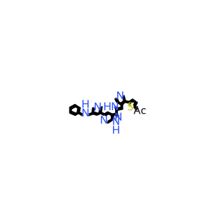 CC(=O)c1ccc(-c2cncc3[nH]c(-c4n[nH]c5cnc(-c6cncc(CNCc7ccccc7)c6)cc45)cc23)s1